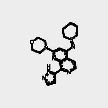 c1cc(-c2nccc3c(N=S4CCCCC4)cc(N4CCOCC4)nc23)[nH]n1